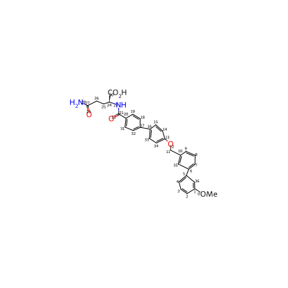 COc1cccc(-c2cccc(COc3ccc(-c4ccc(C(=O)N[C@@H](CCC(N)=O)C(=O)O)cc4)cc3)c2)c1